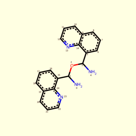 NC(OC(N)c1cccc2cccnc12)c1cccc2cccnc12